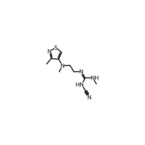 CNC(=NCCN(C)c1csnc1C)NC#N